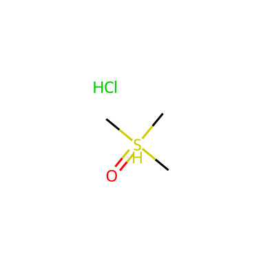 C[SH](C)(C)=O.Cl